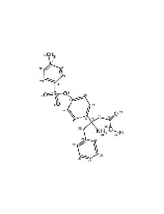 Cc1ccc(S(=O)(=O)Oc2ccc(C(N)(CC(=O)OC(C)C)Cc3ccccc3)cc2)cc1